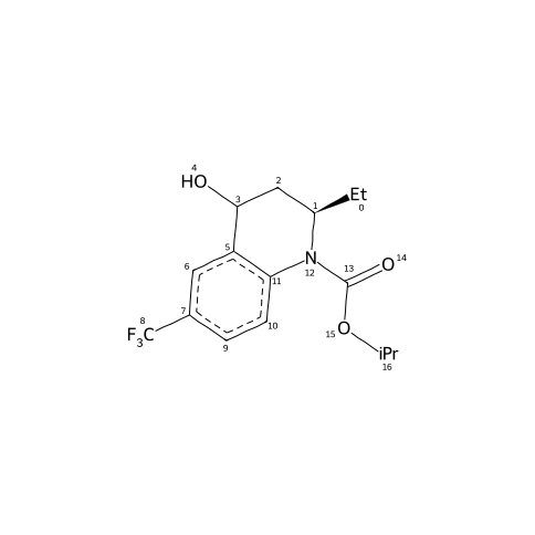 CC[C@@H]1CC(O)c2cc(C(F)(F)F)ccc2N1C(=O)OC(C)C